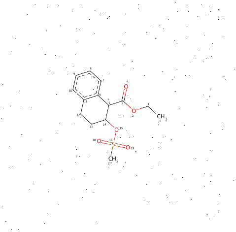 CCOC(=O)C1c2ccccc2CCC1OS(C)(=O)=O